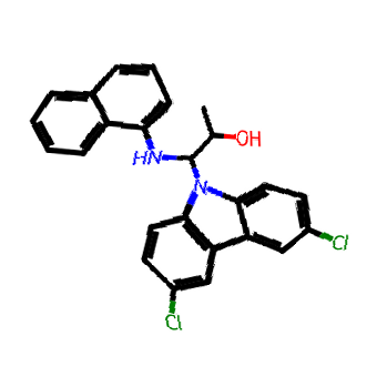 CC(O)C(Nc1cccc2ccccc12)n1c2ccc(Cl)cc2c2cc(Cl)ccc21